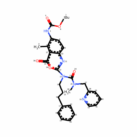 Cc1c(NC(=O)OC(C)(C)C)ccc2nc(N(CCCc3ccccc3)C(=O)N(C)Cc3ccccn3)oc(=O)c12